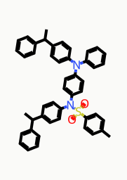 Cc1ccc(S(=O)(=O)N(c2ccc(C(C)c3ccccc3)cc2)c2ccc(N(c3ccccc3)c3ccc(C(C)c4ccccc4)cc3)cc2)cc1